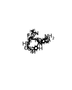 Cc1cc2ccc1[C@@H](C)COC(=O)CNc1cc(F)c(OCC3(C#N)CC3)c(c1)CN(C)C(=O)[C@@H]2Nc1ccc2c(N)nccc2c1